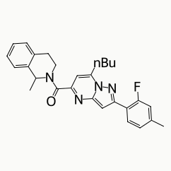 CCCCc1cc(C(=O)N2CCc3ccccc3C2C)nc2cc(-c3ccc(C)cc3F)nn12